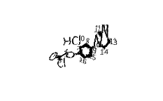 Cl.O=C(Cl)COc1ccc(N2C=NCC2)cc1